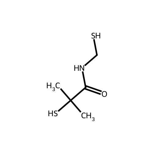 CC(C)(S)C(=O)NCS